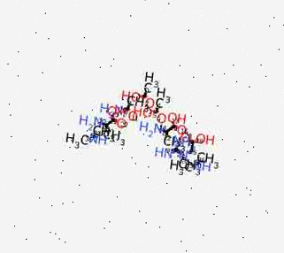 CC(=O)O.CC(=O)O.CC(N)=O.CC(N)C(=O)O.CC(N)C(=O)O.CN(CC(=O)O)C(=N)N.CNC.CNC